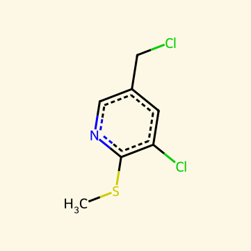 CSc1ncc(CCl)cc1Cl